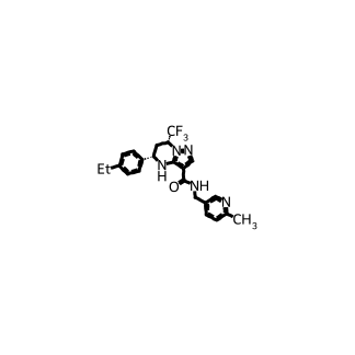 CCc1ccc([C@@H]2C[C@H](C(F)(F)F)n3ncc(C(=O)NCc4ccc(C)nc4)c3N2)cc1